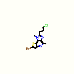 Cc1nc2cc(Br)sc2c2c1nc(CCCCl)n2C